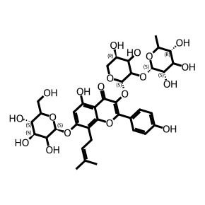 CC(C)=CCc1c(O[C@@H]2OC(CO)[C@@H](O)[C@H](O)C2O)cc(O)c2c(=O)c(O[C@@H]3OC[C@@H](O)C(O)C3O[C@@H]3OC(C)[C@H](O)C(O)[C@@H]3O)c(-c3ccc(O)cc3)oc12